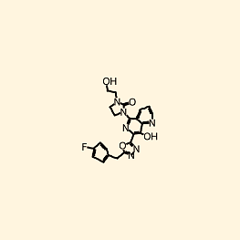 O=C1N(CCO)CCN1c1nc(-c2nnc(Cc3ccc(F)cc3)o2)c(O)c2ncccc12